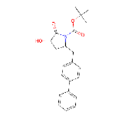 CC(C)(C)OC(=O)N1C(=O)C(O)CC1Cc1ccc(-c2ccccc2)cc1